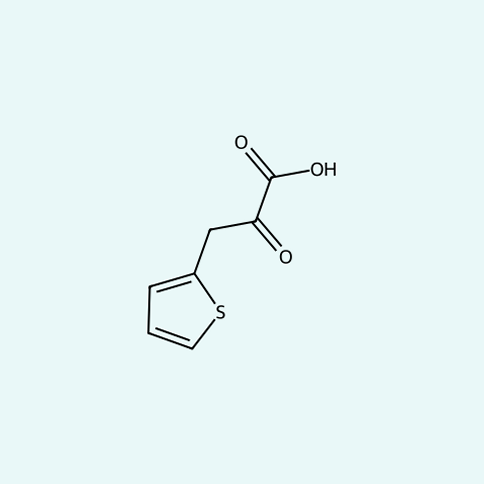 O=C(O)C(=O)Cc1cccs1